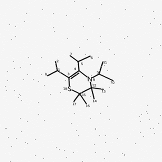 CC(C)C1=C(C(C)C)N(C(C)C)C(C)(C)C(C)(C)S1